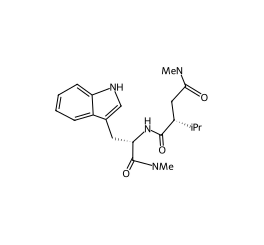 CNC(=O)C[C@@H](C(=O)N[C@@H](Cc1c[nH]c2ccccc12)C(=O)NC)C(C)C